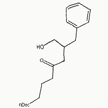 CCCCCCCCCCCCCC(=O)CC(CO)Cc1ccccc1